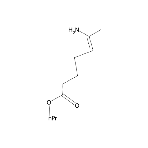 CCCOC(=O)CCCC=C(C)N